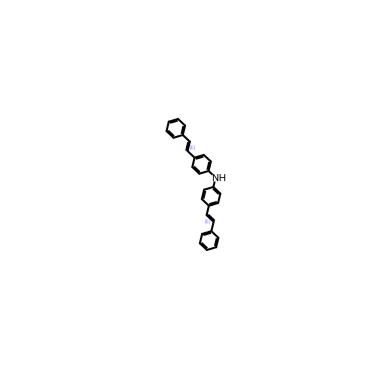 C(=C\c1ccc(Nc2ccc(/C=C/c3ccccc3)cc2)cc1)/c1ccccc1